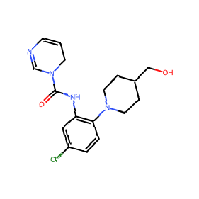 O=C(Nc1cc(Cl)ccc1N1CCC(CO)CC1)N1C=NC=CC1